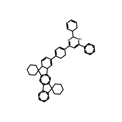 C1=CCC(C2N=C(C3=CC=C(C4=CC5c6cc7c(cc6C6(CCCCC6)C5C=C4)-c4ccccc4C74CCCCC4)CC3)C=C(c3ccccc3)N2)C=C1